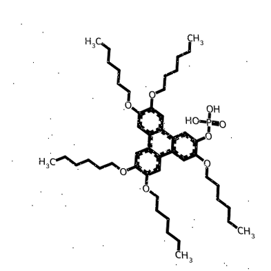 CCCCCCOc1cc2c3cc(OCCCCCC)c(OCCCCCC)cc3c3cc(OP(=O)(O)O)c(OCCCCCC)cc3c2cc1OCCCCCC